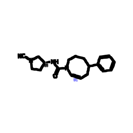 N#CN1CC[C@@H](NC(=O)N2/C=C\CC(c3ccccc3)CCC2)C1